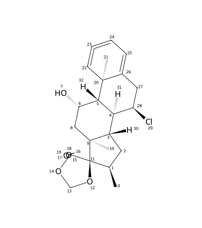 C[C@@H]1C[C@H]2[C@H]3[C@H]([C@@H](O)C[C@]2(C)[C@]12OCOC21COCO1)[C@@]1(C)C=C=CC=C1C[C@H]3Cl